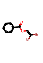 O=C(OC=C(Br)Br)c1ccccc1